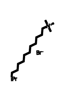 CC(C)CCCCCCCCCCC[N+](C)(C)C.[Br-]